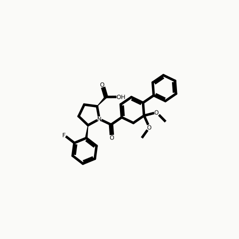 COC1(OC)CC(C(=O)N2[C@@H](c3ccccc3F)CC[C@H]2C(=O)O)=CC=C1c1ccccc1